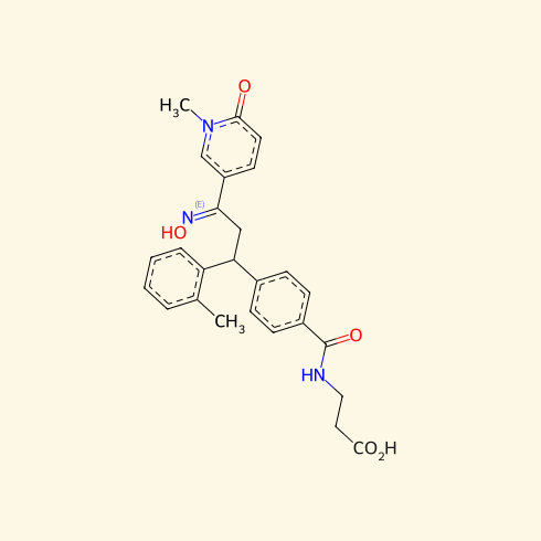 Cc1ccccc1C(C/C(=N\O)c1ccc(=O)n(C)c1)c1ccc(C(=O)NCCC(=O)O)cc1